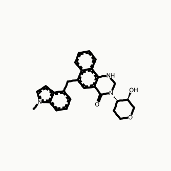 Cn1ccc2c(Cc3cc4c(c5ccccc35)NCN([C@H]3CCOC[C@@H]3O)C4=O)cccc21